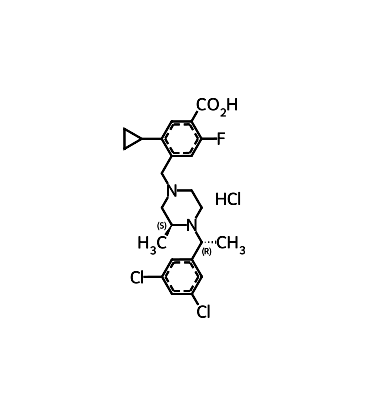 C[C@H](c1cc(Cl)cc(Cl)c1)N1CCN(Cc2cc(F)c(C(=O)O)cc2C2CC2)C[C@@H]1C.Cl